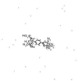 CC1(C)OB(c2ccc(C3(O[Si](C)(C)C(C)(C)C)CN(C(=O)O)C3)cc2)OC1(C)C